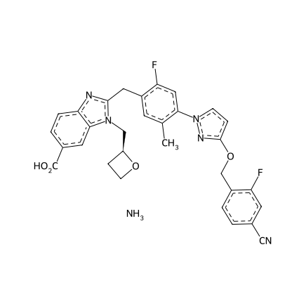 Cc1cc(Cc2nc3ccc(C(=O)O)cc3n2C[C@@H]2CCO2)c(F)cc1-n1ccc(OCc2ccc(C#N)cc2F)n1.N